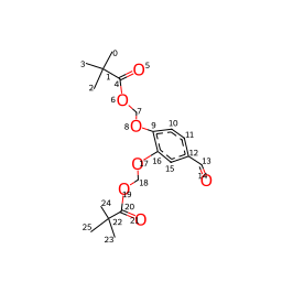 CC(C)(C)C(=O)OCOc1ccc(C=O)cc1OCOC(=O)C(C)(C)C